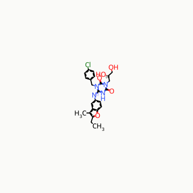 CCc1oc2ccc(/N=c3\[nH]c(=O)n(C[C@H](O)CO)c(=O)n3Cc3ccc(Cl)cc3)cc2c1C